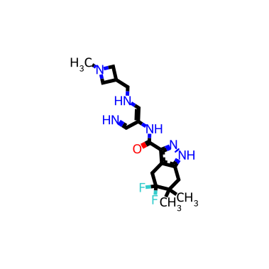 CN1CC(CN/C=C(\C=N)NC(=O)c2n[nH]c3c2CC(F)(F)C(C)(C)C3)C1